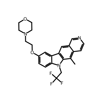 Cc1c2ccncc2cc2c3cc(OCCN4CCOCC4)ccc3n(CC(F)(F)F)c12